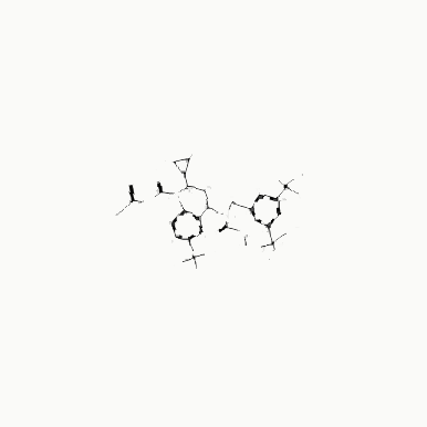 C=C(C)OC(=O)N1c2ccc(C(F)(F)F)cc2C(N(Cc2cc(C(F)(F)F)cc(C(F)(F)F)c2)C(=O)OC)CC1C1CC1